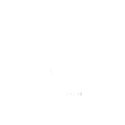 O=C(O)C1C=C2CC=CC=C2S1